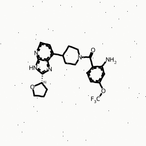 Nc1cc(OC(F)(F)F)ccc1C(=O)N1CCC(c2ccnc3[nH]c([C@@H]4CCCO4)nc23)CC1